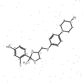 CC(=O)N1CCN(c2ccc(OCC3COC(C)(c4ccc(O)cc4F)O3)cc2)CC1